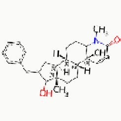 CN1C(=O)C=C[C@@]2(C)C1CC[C@@H]1[C@H]2CC[C@]2(C)C(O)C(=Cc3ccccc3)C[C@@H]12